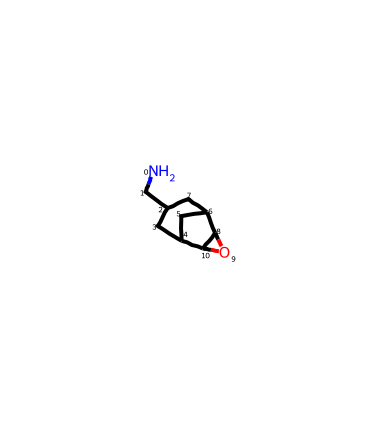 NCC1CC2CC(C1)C1OC21